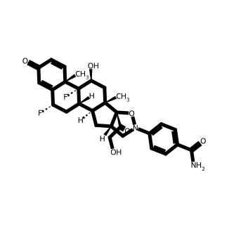 C[C@]12C=CC(=O)C=C1[C@@H](F)C[C@H]1[C@@H]3C[C@H]4CN(c5ccc(C(N)=O)cc5)O[C@@]4(C(=O)CO)[C@@]3(C)C[C@H](O)[C@@]12F